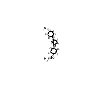 CC(=O)c1ccc(-c2ccn(-c3ccc(OC(F)(F)F)cc3)n2)cc1